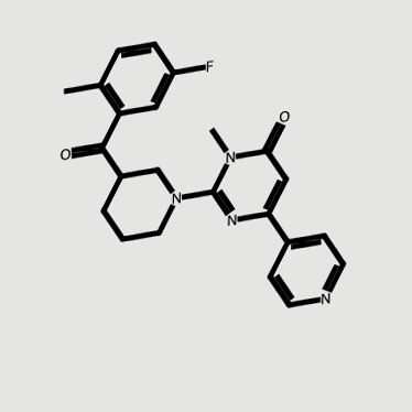 Cc1ccc(F)cc1C(=O)C1CCCN(c2nc(-c3ccncc3)cc(=O)n2C)C1